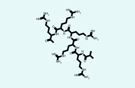 CC(=O)C(CCCNC(=N)N)NC(=O)C(CCCNC(=N)N)NC(=O)C(CCCNC(=N)N)NC(=O)C(CCCNC(=N)N)NC(=O)C(CCCNC(=N)N)NC(=O)C(C)C